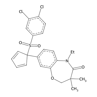 CCN1C(=O)C(C)(C)COc2cc(C3(S(=O)(=O)c4ccc(Cl)c(Cl)c4)C=CC=C3)ccc21